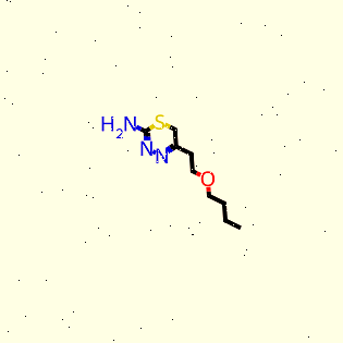 CCCCOCCC1=NN=C(N)SC1